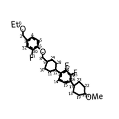 CCOCc1ccc(OCC2CCC(c3ccc(C4CCC(OC)CC4)c(F)c3F)CC2)c(F)c1